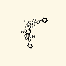 C=C(NCCCC(NC(=O)OCc1ccccc1)C(=O)O)NC(=O)OCc1ccccc1